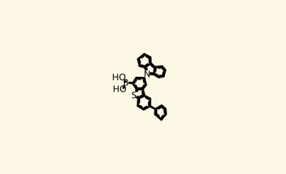 OB(O)c1cc(-n2c3ccccc3c3ccccc32)cc2c1sc1ccc(-c3ccccc3)cc12